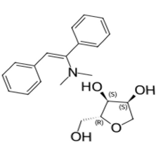 CN(C)C(=Cc1ccccc1)c1ccccc1.OC[C@H]1OC[C@H](O)[C@@H]1O